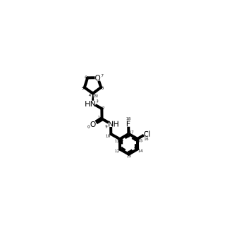 O=C(CN[C@H]1CCOC1)NCc1cccc(Cl)c1F